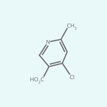 Cc1cc(Cl)c(C(=O)O)cn1